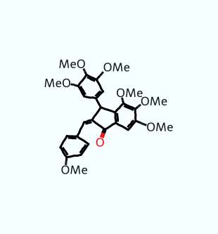 COc1ccc(C=C2C(=O)c3cc(OC)c(OC)c(OC)c3C2c2cc(OC)c(OC)c(OC)c2)cc1